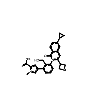 Cn1cc(-c2cccc(-n3c(C4CNC4)cc4cc(C5CC5)ccc4c3=O)c2CO)cc1C(N)=O